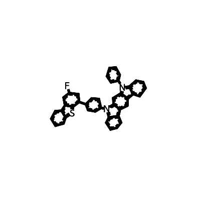 Fc1cc(-c2ccc(-n3c4ccccc4c4cc5c6ccccc6n(-c6ccccc6)c5cc43)cc2)c2sc3ccccc3c2c1